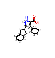 O=C(O)c1[nH]nc(C2Cc3ccccc3C2)c1-c1ccccc1